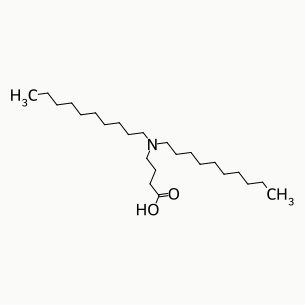 CCCCCCCCCCN(CCCCCCCCCC)CCCC(=O)O